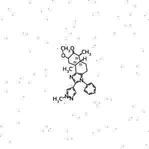 COC1C[C@]2(C)c3nc(-c4cnn(C)c4)n(-c4ccccc4)c3CC[C@H]2[C@H](C)C1=O